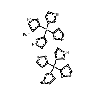 [Pd+2].c1cc([B-](c2cc[nH]n2)(c2cc[nH]n2)c2cc[nH]n2)n[nH]1.c1cc([B-](c2cc[nH]n2)(c2cc[nH]n2)c2cc[nH]n2)n[nH]1